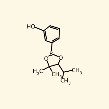 CC(C)C1OB(c2cccc(O)c2)OC1(C)C